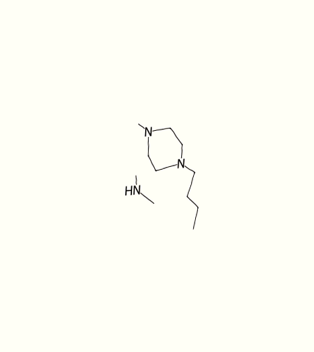 CCCCN1CCN(C)CC1.CNC